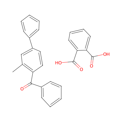 Cc1cc(-c2ccccc2)ccc1C(=O)c1ccccc1.O=C(O)c1ccccc1C(=O)O